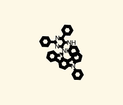 c1ccc(NC2C(c3ccccc3)=NC(c3ccccc3)=NC2Nn2c3ccccc3c3ccc4c(c5ccccc5n4-c4ccccc4)c32)cc1